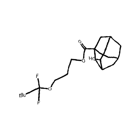 CC(C)(C)C(F)(F)OCCCOC(=O)C12CC3CC(C1)C(O)C(C3)C2